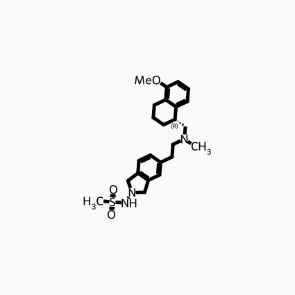 COc1cccc2c1CCC[C@H]2CN(C)CCc1ccc2c(c1)CN(NS(C)(=O)=O)C2